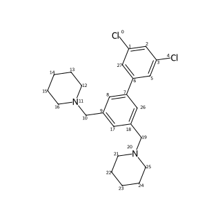 Clc1cc(Cl)cc(-c2cc(CN3CCCCC3)cc(CN3CCCCC3)c2)c1